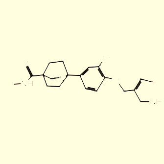 CNC(=O)C12CCC(c3ccc(OCC(=CF)CN)c(C)c3)(CC1)CC2